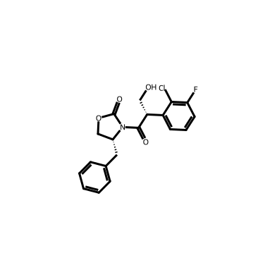 O=C1OC[C@@H](Cc2ccccc2)N1C(=O)[C@H](CO)c1cccc(F)c1Cl